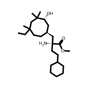 CCC1(C)CC[C@H](C[C@](N)(CCC2CCCCC2)C(=O)OC)C[C@@H](O)C(C)(C)C1